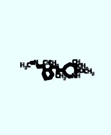 C=C=C1NCCC(C(=C)CC(C)C2C=CC=CC2/C(C)=C/N=C\C)CCC1(C)C